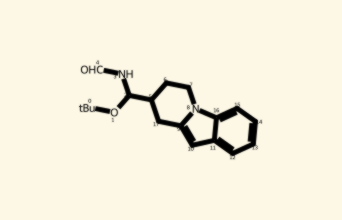 CC(C)(C)OC(NC=O)C1CCn2c(cc3ccccc32)C1